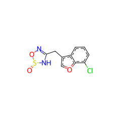 O=S1NC(Cc2coc3c(Cl)cccc23)=NO1